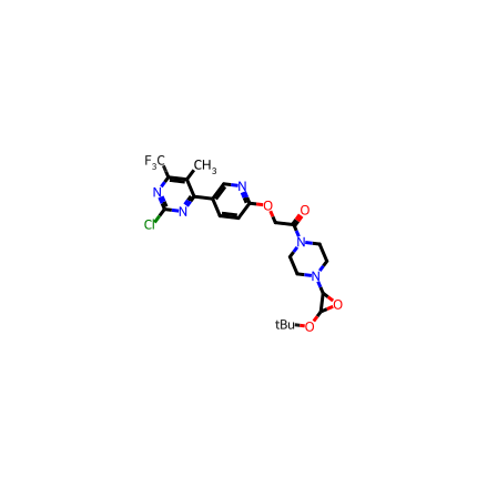 Cc1c(-c2ccc(OCC(=O)N3CCN(C4OC4OC(C)(C)C)CC3)nc2)nc(Cl)nc1C(F)(F)F